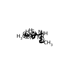 Cc1cccc(-c2nc(-c3cn(C)c4c(NC(=O)CS(C)(=O)=O)nccc34)c3nc[nH]c3n2)n1